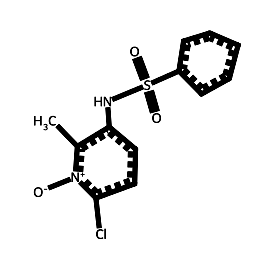 Cc1c(NS(=O)(=O)c2ccccc2)ccc(Cl)[n+]1[O-]